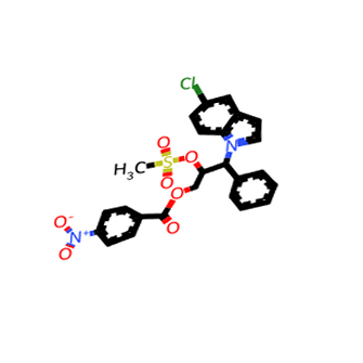 CS(=O)(=O)OC(COC(=O)c1ccc([N+](=O)[O-])cc1)C(c1ccccc1)n1ccc2cc(Cl)ccc21